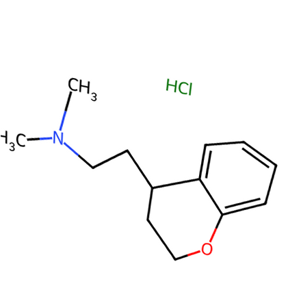 CN(C)CCC1CCOc2ccccc21.Cl